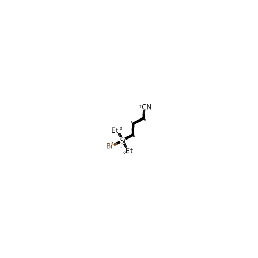 CC[Si](Br)(CC)CCCC#N